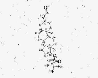 C[C@]12CC[C@H](OC=O)CC1=CCC1C2CC[C@]2(C)C(OS(=O)(=O)C(F)(F)F)=CCC12